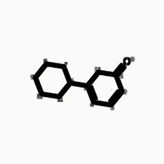 O=C1C=CC=C(C2CCCCC2)C1